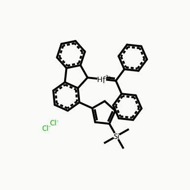 C[Si](C)(C)C1=CCC(c2cccc3c2[CH]([Hf+2]=[C](c2ccccc2)c2ccccc2)c2ccccc2-3)=C1.[Cl-].[Cl-]